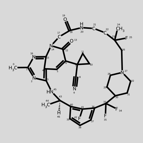 Cc1nc2c3cc(C4(C#N)CC4)c(=O)n(c3n1)CC(=O)NCCC(C)(F)CN1CCC(CC1)C(F)(F)c1cccc(c1F)[C@@H](C)N2